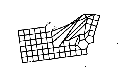 CC1C2C3C4C5CC6C7C8C9C%10CC%11C%12C%13C%14C%15C%16C%17C%18C%19C%20C%21CC%22C%23CC%24C%25C%26C%27CC%28%29C%30(C)C1%31C21C32C43C65C74C85C96C%10%11C%127C%138C%149C%15%10C%16%11C%17%12C%18%13C%19%14C%20%15C%22%21C%16C%17C%23%18C%24C%25%19C%26%20C%27%28C%21%22C%29%23C%30%24C%31%25C1%26C21C43C52C67C83C94C%105C%116C%127C%138C%149C%16%15C%17%10C%18%19C%20%21C%109C8%22C%237C%246C%255C%264C213